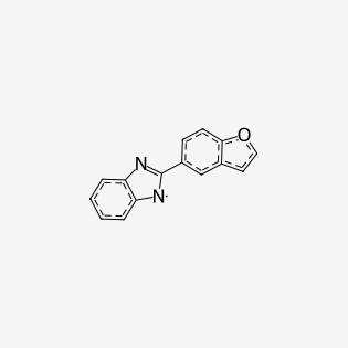 c1ccc2c(c1)[N]C(c1ccc3occc3c1)=N2